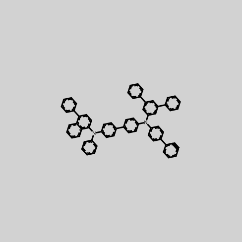 c1cccc(-c2ccc(N(c3ccc(-c4ccc(N(c5ccccc5)c5ccc(-c6ccccc6)c6ccccc56)cc4)cc3)c3cc(-c4ccccc4)cc(-c4ccccc4)c3)cc2)c#1